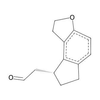 O=CC[C@H]1CCc2ccc3c(c21)CCO3